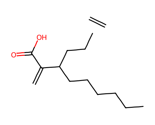 C=C.C=C(C(=O)O)C(CCC)CCCCCC